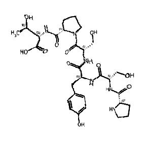 C[C@@H](O)[C@H](NC(=O)[C@@H]1CCCN1C(=O)[C@H](CO)NC(=O)[C@H](Cc1ccc(O)cc1)NC(=O)[C@H](CO)NC(=O)[C@@H]1CCCN1)C(=O)O